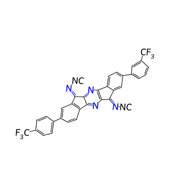 [C-]#[N+]/N=c1/c2cc(-c3ccc(C(F)(F)F)cc3)ccc2c2nc3/c(=N/[N+]#[C-])c4cc(-c5cccc(C(F)(F)F)c5)ccc4c3nc12